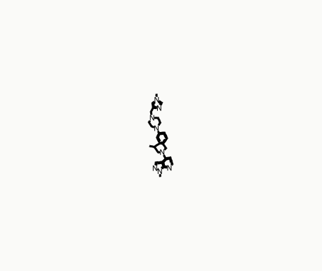 CC1CN(c2ccnc3c2cnn3C)Cc2ccc(N3CCN(Cc4cn(C)cn4)CC3)cc21